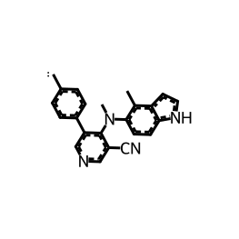 [CH]c1ccc(-c2cncc(C#N)c2N(C)c2ccc3[nH]ccc3c2C)cc1